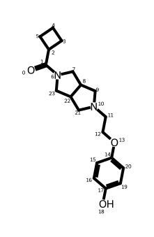 O=C(C1CCC1)N1CC2CN(CCOc3ccc(O)cc3)CC2C1